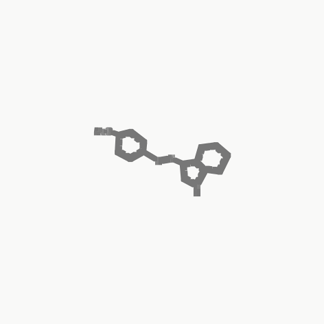 COc1ccc(N=Nc2c[nH]c3ccccc23)cc1